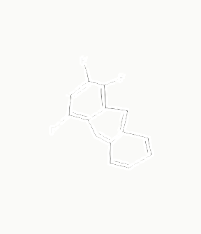 Fc1[c]c(F)c2cc3ccccc3cc2c1F